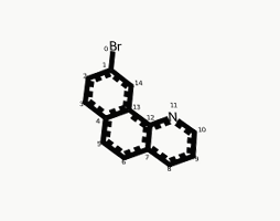 Brc1ccc2ccc3cccnc3c2c1